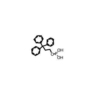 OP(O)OCCC(c1ccccc1)(c1ccccc1)c1ccccc1